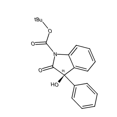 CC(C)(C)OC(=O)N1C(=O)[C@@](O)(c2ccccc2)c2ccccc21